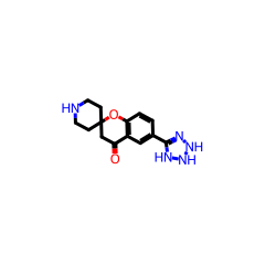 O=C1CC2(CCNCC2)Oc2ccc(C3=NNNN3)cc21